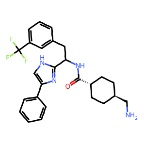 NC[C@H]1CC[C@H](C(=O)NC(Cc2cccc(C(F)(F)F)c2)c2nc(-c3ccccc3)c[nH]2)CC1